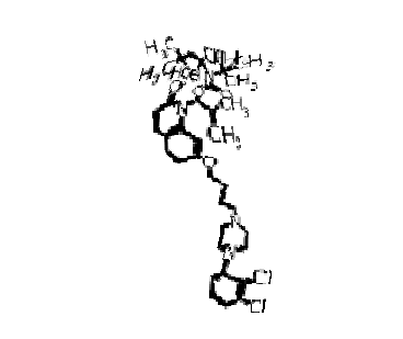 CC(C)C(OC(=O)N(C(C)(C)C)C(C)(C)CC(C)(C)C)n1c(=O)ccc2ccc(OCCCCN3CCN(c4cccc(Cl)c4Cl)CC3)cc21